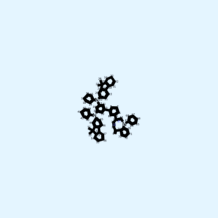 C=C1/C=C\C(c2cccc(-c3cc(N(c4ccccc4)c4ccc5c(c4)C(C)(C)C4=C5C=CCC4)cc(N(c4ccccc4)c4ccc5c(c4)C(C)(C)C4C=CC=CC54)c3)c2)=C/N(c2ccccc2)c2ccccc21